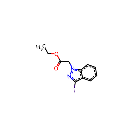 CCOC(=O)Cn1nc(I)c2ccccc21